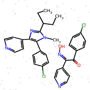 CCC(CC)c1nc(-c2ccncc2)c(-c2ccc(Cl)cc2)n1C.O=C(C(=NO)c1ccncc1)c1ccc(Cl)cc1